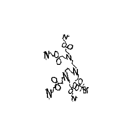 CC(CN(CCCN(CCC(=O)OCCN(C)C)CCC(=O)OCCN(C)C)CCCN(CCC(=O)OCCN(C)C)CCC(=O)OCCN(C)C)OC(=O)C(C)(C)Br